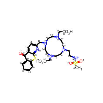 CS(=O)(=O)NCCN1CCN(CC(=O)O)CCN(Cc2ccc3c(=O)c4ccccc4sc3n2)CCN(CC(=O)O)CC1